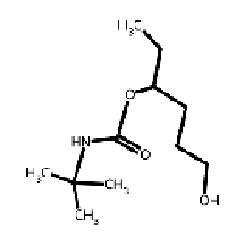 CCC(CCCO)OC(=O)NC(C)(C)C